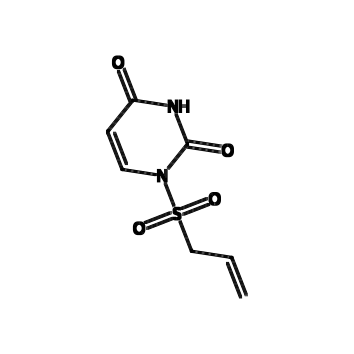 C=CCS(=O)(=O)n1ccc(=O)[nH]c1=O